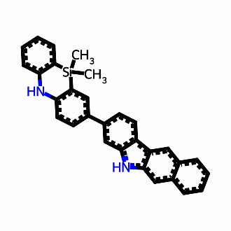 C[Si]1(C)c2ccccc2Nc2ccc(-c3ccc4c(c3)[nH]c3cc5ccccc5cc34)cc21